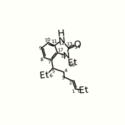 CCC=CCCC(CC)c1cccc2[nH]c(=O)n(CC)c12